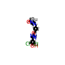 CC(C)(C)C(=O)N1CCN(Cc2ccc(COc3ncc(-c4cc(Cl)c(O)c(Cl)c4)nn3)cc2)CC1